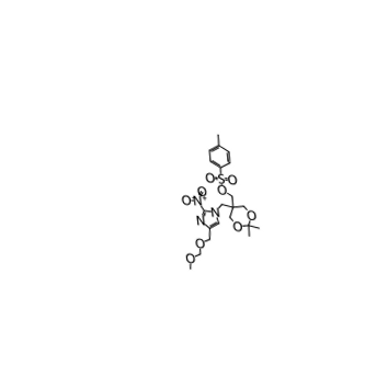 COCOCc1cn(CC2(COS(=O)(=O)c3ccc(C)cc3)COC(C)(C)OC2)c([N+](=O)[O-])n1